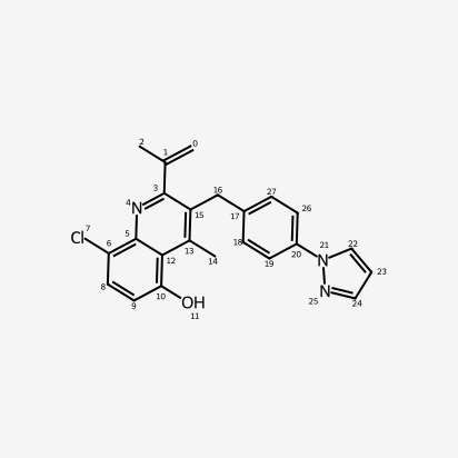 C=C(C)c1nc2c(Cl)ccc(O)c2c(C)c1Cc1ccc(-n2cccn2)cc1